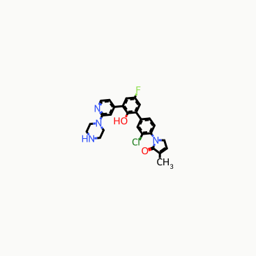 CC1=CCN(c2ccc(-c3cc(F)cc(-c4ccnc(N5CCNCC5)c4)c3O)cc2Cl)C1=O